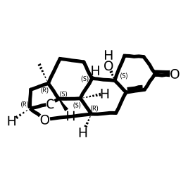 C[C@]12CC[C@H]3[C@H]4[C@@H](CC5=CC(=O)CC[C@@]53O)O[C@H](C[C@@H]41)C2